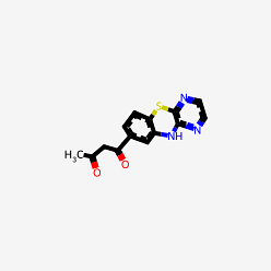 CC(=O)CC(=O)c1ccc2c(c1)Nc1nccnc1S2